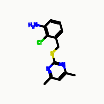 Cc1cc(C)nc(SCc2cccc(N)c2Cl)n1